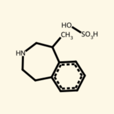 CC1CNCCc2ccccc21.O=S(=O)(O)O